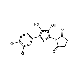 O=C1CCC(=O)N1c1oc(-c2ccc(Cl)c(Cl)c2)c(O)c1O